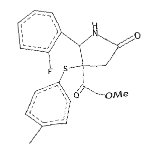 COC(=O)C1(Sc2ccc(C)cc2)CC(=O)NC1c1ccccc1F